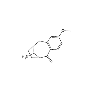 C=C1c2ccc(OC)cc2CC2CCC1C2N